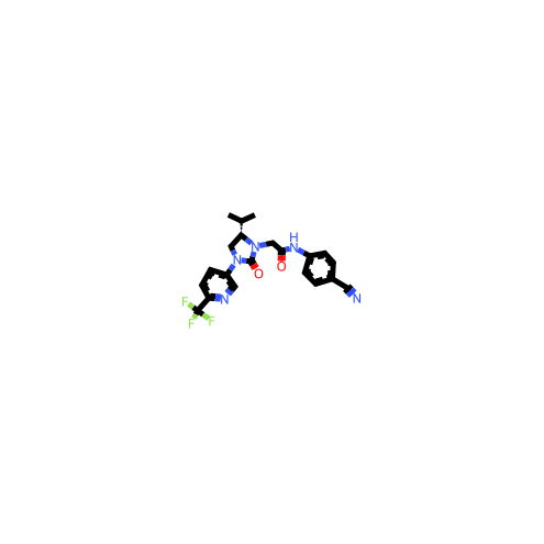 CC(C)[C@H]1CN(c2ccc(C(F)(F)F)nc2)C(=O)N1CC(=O)Nc1ccc(C#N)cc1